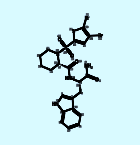 NC(=O)[C@H](Cc1c[nH]c2ccccc12)NC(=O)[C@@H]1CCCCN1S(=O)(=O)c1cc(Br)c(Br)s1